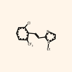 CCn1ccnc1/C=C/c1c(Cl)cccc1C(F)(F)F